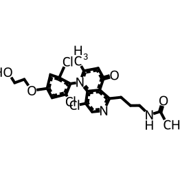 CC(=O)NCCCc1ncc(Cl)c2c1c(=O)cc(C)n2-c1c(Cl)cc(OCCO)cc1Cl